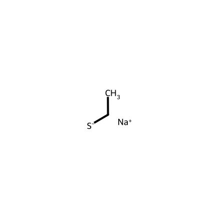 CC[S-].[Na+]